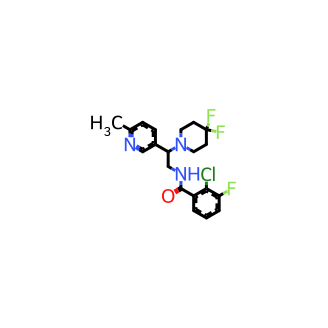 Cc1ccc(C(CNC(=O)c2cccc(F)c2Cl)N2CCC(F)(F)CC2)cn1